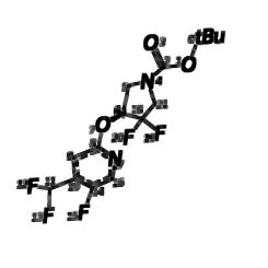 CC(C)(C)OC(=O)N1C[C@H](Oc2cc(C(F)F)c(F)cn2)C(F)(F)C1